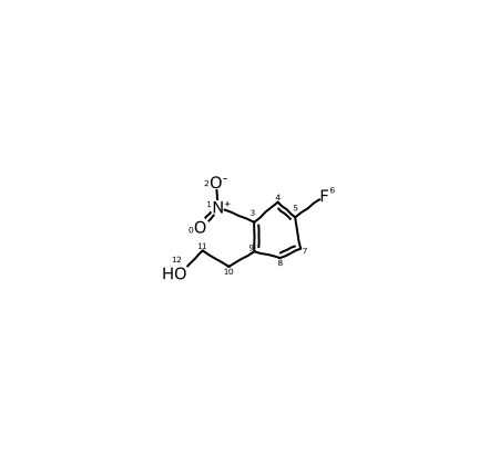 O=[N+]([O-])c1cc(F)ccc1CCO